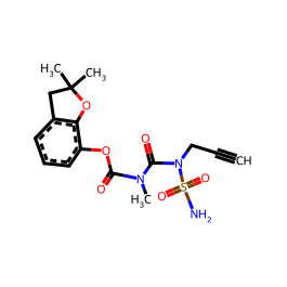 C#CCN(C(=O)N(C)C(=O)Oc1cccc2c1OC(C)(C)C2)S(N)(=O)=O